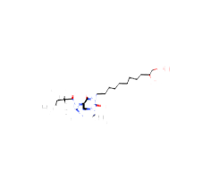 CCC(C)(C)C(=O)n1cnc2c1c(=O)n(CCCCCCCCCC(O)CO)c(=O)n2C